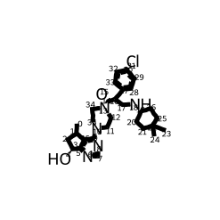 CC1C[C@@H](O)c2ncnc(N3CCN(C(=O)C(CNC4CCC(C)(C)CC4)c4ccc(Cl)cc4)CC3)c21